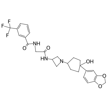 O=C(CNC(=O)c1cccc(C(F)(F)F)c1)NC1CN(C2CCC(O)(c3ccc4c(c3)OCO4)CC2)C1